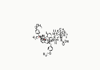 COc1ccc(CN(Cc2ccc(OC)cc2)S(=O)(=O)c2c(S(=O)(=O)N[C@@H](CNC(=O)O)CO[Si](C)(C)C(C)(C)C)ccc(I)c2-c2nnn(Cc3ccc(OC)cc3)n2)cc1